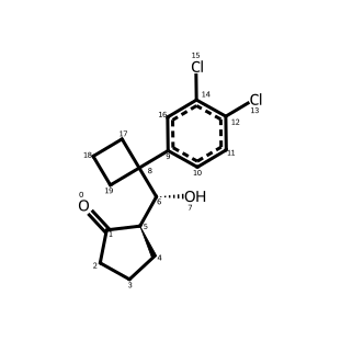 O=C1CCC[C@@H]1[C@@H](O)C1(c2ccc(Cl)c(Cl)c2)CCC1